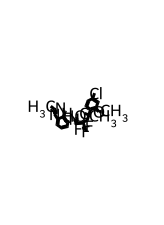 COc1cc(Cl)ccc1C(C)(C)CC(O)(C=Nc1cccc2nc(C)ncc12)C(F)(F)F